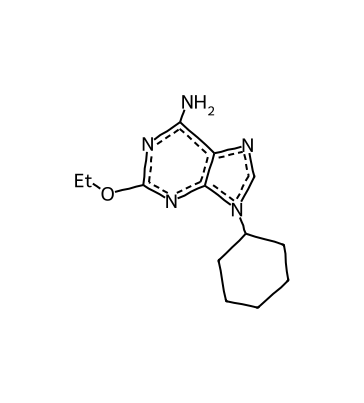 CCOc1nc(N)c2ncn(C3CCCCC3)c2n1